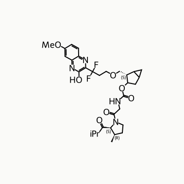 COc1ccc2nc(C(F)(F)CCOC[C@H]3C(OC(=O)NCC(=O)N4CC[C@@H](C)[C@H]4C(=O)C(C)C)CC4CC43)c(O)nc2c1